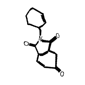 O=C1C=CC2=C(C1)C(=O)N(C1C=CCCC1)C2=O